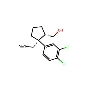 CNC[C@]1(c2ccc(Cl)c(Cl)c2)CCC[C@@H]1CO